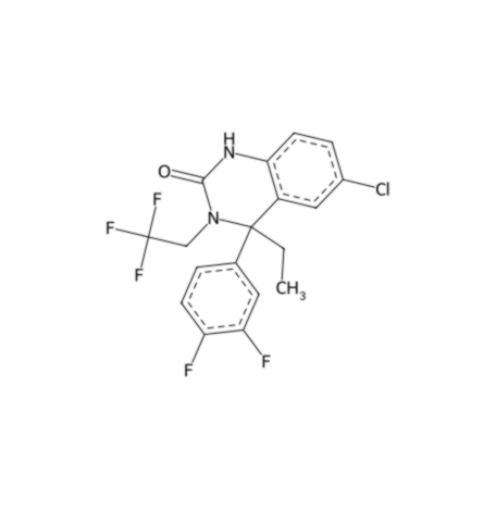 CCC1(c2ccc(F)c(F)c2)c2cc(Cl)ccc2NC(=O)N1CC(F)(F)F